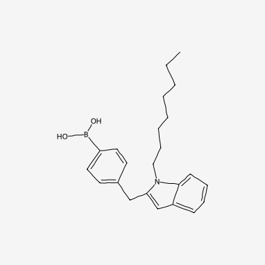 CCCCCCCCn1c(Cc2ccc(B(O)O)cc2)cc2ccccc21